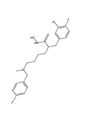 CN(CCCCC(Cc1ccc(F)c(Cl)c1)C(=O)NO)Cc1ccc(F)cc1